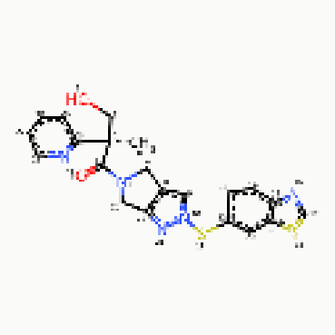 C[C@](CO)(C(=O)N1Cc2cn(Sc3ccc4ncsc4c3)nc2C1)c1ccccn1